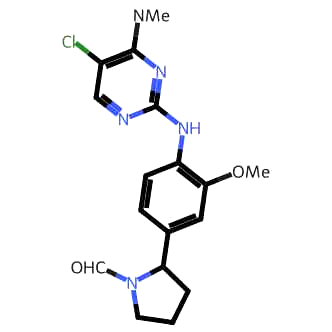 CNc1nc(Nc2ccc(C3CCCN3C=O)cc2OC)ncc1Cl